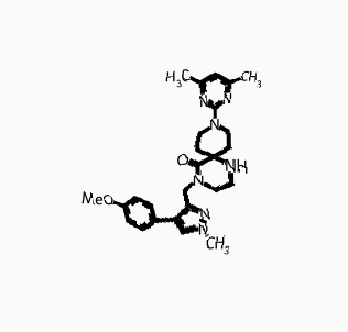 COc1ccc(-c2cn(C)nc2CN2CCNC3(CCN(c4nc(C)cc(C)n4)CC3)C2=O)cc1